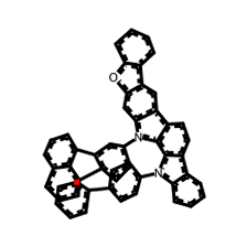 c1ccc(-c2ccc(-n3c4ccccc4c4ccc5c6cc7c(cc6n(-c6ccc8c(c6)-c6cccc9cccc-8c69)c5c43)oc3ccccc37)cc2)cc1